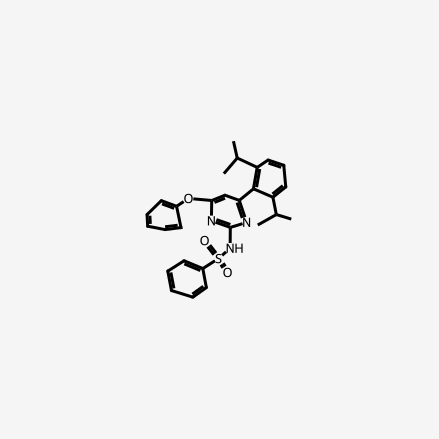 CC(C)c1cccc(C(C)C)c1-c1cc(Oc2ccccc2)nc(NS(=O)(=O)c2ccccc2)n1